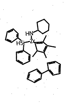 CC1=C(C)C(C)[C]([Zr]([NH]C2CCCCC2)[SiH](c2ccccc2)c2ccccc2)=C1C.c1ccc(-c2ccccc2)cc1